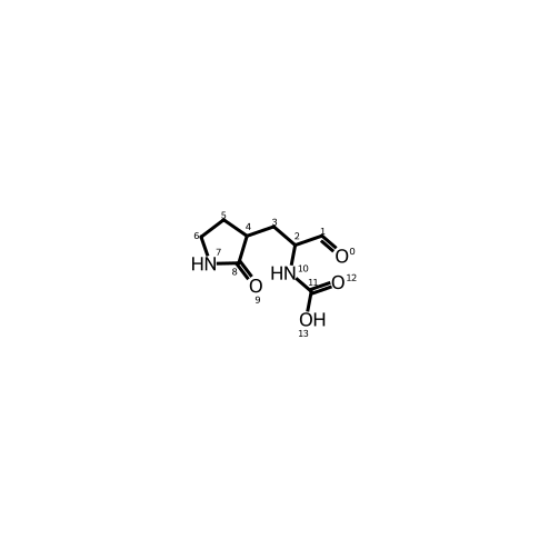 O=CC(CC1CCNC1=O)NC(=O)O